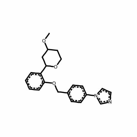 COC1CCOC(c2ccccc2OCc2ccc(-n3ccnc3)cc2)C1